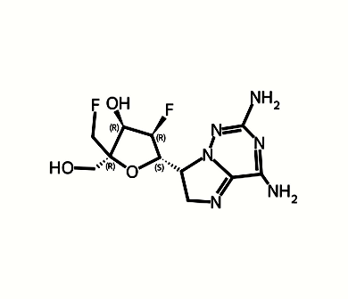 NC1=NN2C(=NCC2[C@@H]2O[C@@](CO)(CF)[C@@H](O)[C@H]2F)C(N)=N1